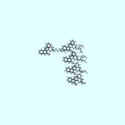 CC(C)OC(=O)CC(c1ccccc1)c1c(O)c2ccccc2oc1=O.CCC(C)OC(=O)CC(c1ccccc1)c1c(O)c2ccccc2oc1=O.CCCCOC(=O)CC(c1ccccc1)c1c(O)c2ccccc2oc1=O.COC(=O)CC(c1c(O)c2ccccc2oc1=O)C1CCCCC1.O=C(O)CC(c1c(O)c2ccccc2oc1=O)C1CCCCC1